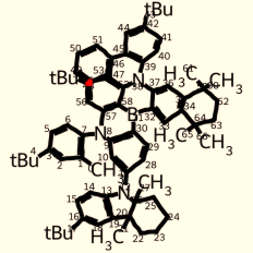 Cc1cc(C(C)(C)C)ccc1N1c2cc(N3c4ccc(C(C)(C)C)cc4C4(C)CCCCC34C)ccc2B2c3cc4c(cc3N(c3ccc(C(C)(C)C)cc3-c3ccccc3)c3cc(C(C)(C)C)cc1c32)C(C)(C)CCC4(C)C